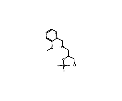 COc1ccccc1CNCC(CCl)O[Si](C)(C)C